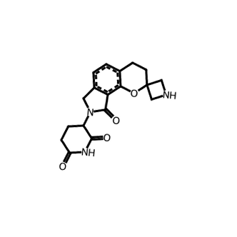 O=C1CCC(N2Cc3ccc4c(c3C2=O)OC2(CC4)CNC2)C(=O)N1